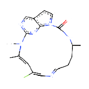 CCCCN1/C(C)=C/C(F)=C\N=C\CCC(C)NC(=O)n2ccc3cnc1nc32